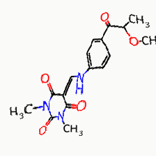 COC(C)C(=O)c1ccc(NC=C2C(=O)N(C)C(=O)N(C)C2=O)cc1